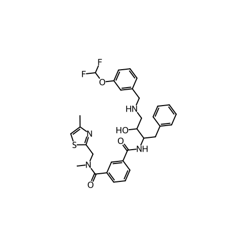 Cc1csc(CN(C)C(=O)c2cccc(C(=O)NC(Cc3ccccc3)C(O)CNCc3cccc(OC(F)F)c3)c2)n1